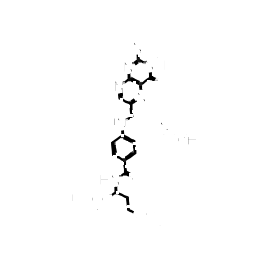 NC(=O)O.Nc1nc2ncc(CNc3ccc(C(=O)NC(CCC(=O)O)C(=O)O)cc3)nc2c(=O)[nH]1